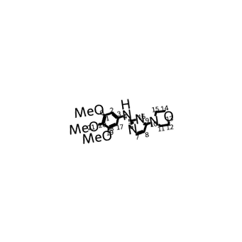 COc1cc(Nc2nccc(N3CCOCC3)n2)cc(OC)c1OC